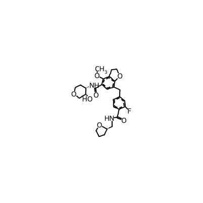 COc1c(C(=O)N[C@H]2CCOC[C@@H]2O)cc(Cc2ccc(C(=O)NC[C@H]3CCCO3)c(F)c2)c2c1CCO2